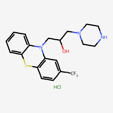 Cl.OC(CN1CCNCC1)CN1c2ccccc2Sc2ccc(C(F)(F)F)cc21